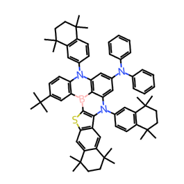 CC(C)(C)c1ccc2c(c1)B1c3sc4cc5c(cc4c3N(c3ccc4c(c3)C(C)(C)CCC4(C)C)c3cc(N(c4ccccc4)c4ccccc4)cc(c31)N2c1ccc2c(c1)C(C)(C)CCC2(C)C)C(C)(C)CCC5(C)C